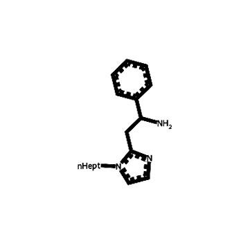 CCCCCCCn1ccnc1CC(N)c1ccccc1